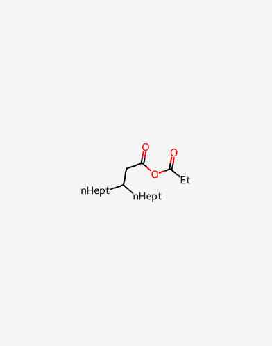 CCCCCCCC(CCCCCCC)CC(=O)OC(=O)CC